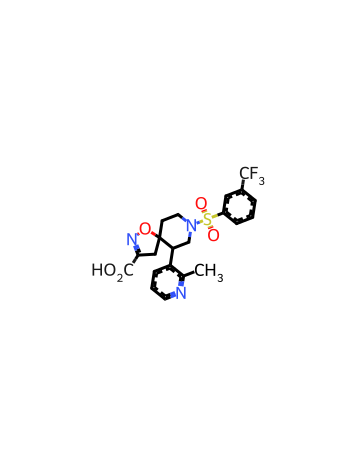 Cc1ncccc1C1CN(S(=O)(=O)c2cccc(C(F)(F)F)c2)CCC12CC(C(=O)O)=NO2